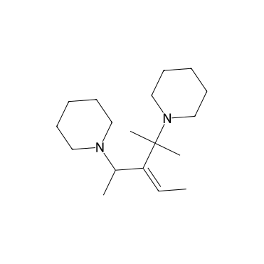 CC=C(C(C)N1CCCCC1)C(C)(C)N1CCCCC1